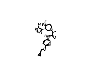 C[C@@H](C(=O)Nc1ccc(OCC2CC2)nn1)N1CCC(F)(F)[C@H](c2ncn[nH]2)C1